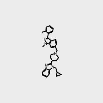 Cc1ccccc1-c1nn(C)c2cc(CN3CCC(c4nc5ccccc5n4CC4CC4)CC3)ccc12